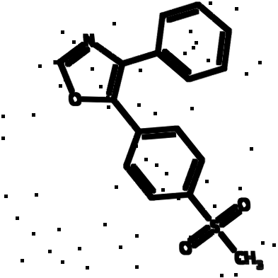 CS(=O)(=O)c1ccc(-c2o[c]nc2-c2ccccc2)cc1